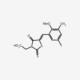 COc1c(C)cc(I)cc1/C=C1\SC(=S)N(CC(=O)O)C1=O